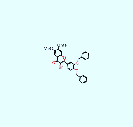 COc1cc2oc(-c3ccc(OCc4ccccc4)c(OCc4ccccc4)c3)c(Br)c(=O)c2cc1OC